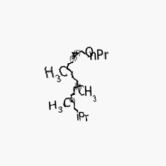 CCCOCC[C@@H]1C[C@H]1CCC(C)CCC[C@H](C)CCC[C@H](C)CCCC(C)C